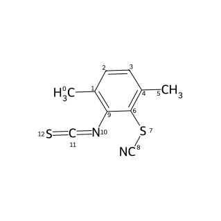 Cc1ccc(C)c(SC#N)c1N=C=S